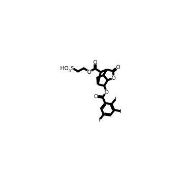 O=C(OC1C2CC3C1OC(=O)C3C2C(=O)OCCS(=O)(=O)O)c1cc(I)cc(I)c1I